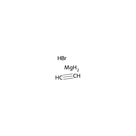 Br.C#C.[MgH2]